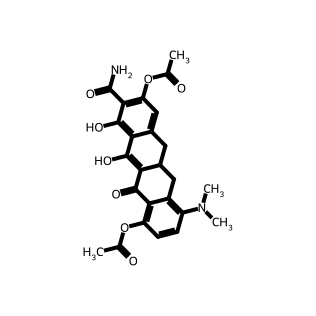 CC(=O)Oc1cc2c(c(O)c1C(N)=O)C(O)=C1C(=O)c3c(OC(C)=O)ccc(N(C)C)c3CC1C2